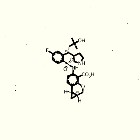 CC(C)(O)C[C@@H](c1cc(F)ccc1S(=O)(=O)Nc1ccc2c(c1C(=O)O)OC[C@@H]1C[C@H]21)C1CCNC1